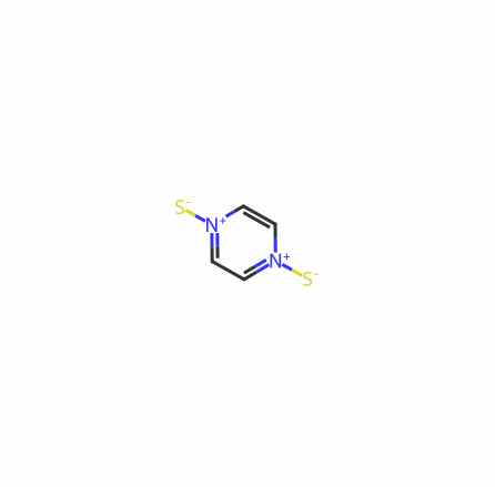 [S-][n+]1cc[n+]([S-])cc1